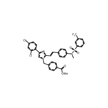 COC(=O)c1ccc(Cn2cc(-c3ccc(Cl)cc3Cl)nc2/C=C/c2ccc(N(C)S(=O)(=O)c3cccc(C(F)(F)F)c3)cc2)cc1